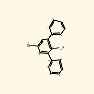 CCc1cc(-c2ccccc2)c(C#N)c(-c2ccccc2)c1